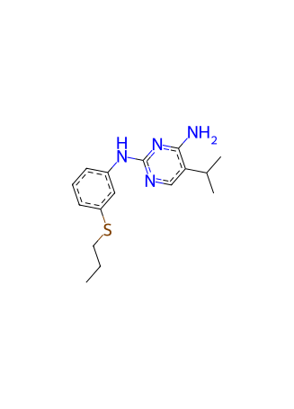 CCCSc1cccc(Nc2ncc(C(C)C)c(N)n2)c1